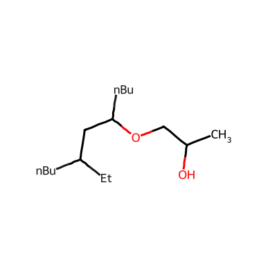 CCCCC(CC)CC(CCCC)OCC(C)O